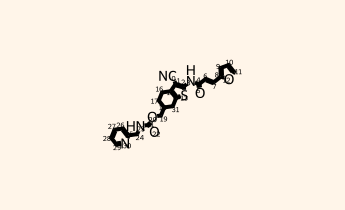 N#Cc1c(NC(=O)C=Cc2ccco2)sc2c1CCC(COC(=O)NCc1ccccn1)C2